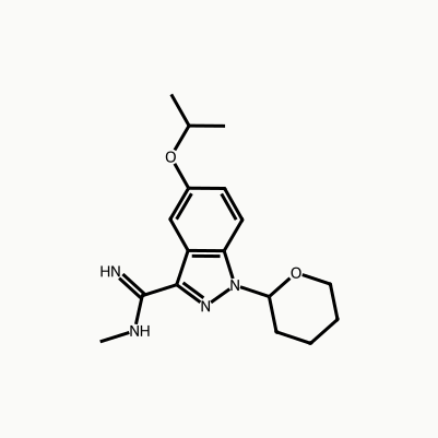 CNC(=N)c1nn(C2CCCCO2)c2ccc(OC(C)C)cc12